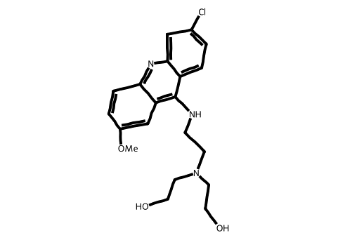 COc1ccc2nc3cc(Cl)ccc3c(NCCN(CCO)CCO)c2c1